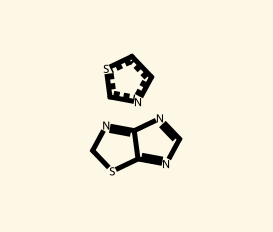 C1=NC2=NCSC2=N1.c1cscn1